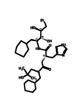 CC(C)C[C@H](O)[C@H](O)[C@H](CC1CCCCC1)NC(=O)[C@@H](CC(=O)N(CC1CCCCC1)CC(C)(C)O)Cc1c[nH]cn1